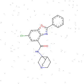 O=C(NC1CN2CCC1CC2)c1cc(Cl)cc2oc(-c3ccccc3)nc12